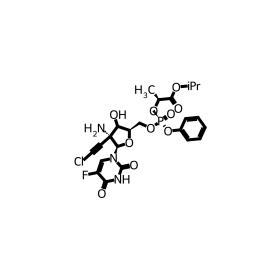 CC(C)OC(=O)[C@H](C)O[P@](=O)(OC[C@H]1O[C@@H](n2cc(F)c(=O)[nH]c2=O)[C@@](N)(C#CCl)C1O)Oc1ccccc1